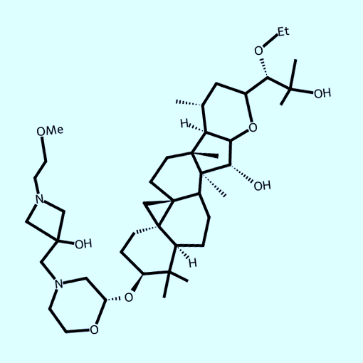 CCO[C@@H](C1C[C@@H](C)[C@H]2C(O1)[C@H](O)[C@@]1(C)C3CC[C@H]4C(C)(C)[C@@H](O[C@H]5CN(CC6(O)CN(CCOC)C6)CCO5)CC[C@@]45C[C@@]35CC[C@]21C)C(C)(C)O